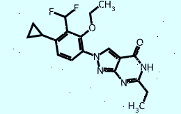 CCOc1c(-n2cc3c(=O)[nH]c(CC)nc3n2)ccc(C2CC2)c1C(F)F